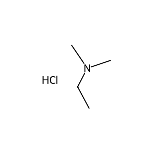 CCN(C)C.Cl